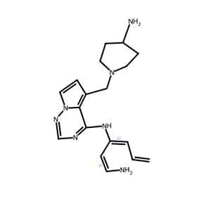 C=C/C=C(\C=C/N)Nc1ncnn2ccc(CN3CCC(N)CC3)c12